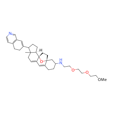 COCCOCCOCCNC1CCC2=CC3=CCC4(C)C(C5=Cc6cnccc6CC5)CC[C@H]4[C@@]34CC[C@]2(C1)O4